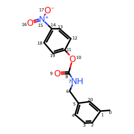 Cc1cccc(CNC(=O)Oc2ccc([N+](=O)[O-])cc2)c1